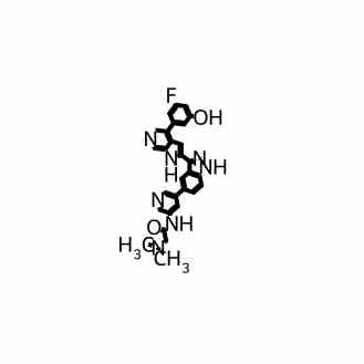 CN(C)CC(=O)Nc1cncc(-c2ccc3[nH]nc(-c4cc5c(-c6cc(O)cc(F)c6)cncc5[nH]4)c3c2)c1